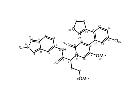 COCC[C@@H](C(=O)Nc1ccc2nn(C)cc2c1)n1cc(OC)c(-c2cc(Cl)ccc2C2=NOCC2)cc1=O